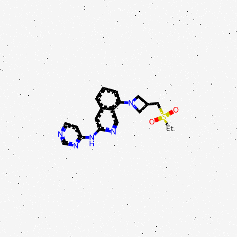 CCS(=O)(=O)CC1CN(c2cccc3cc(Nc4ccncn4)ncc23)C1